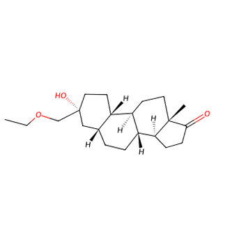 CCOC[C@@]1(O)CC[C@H]2[C@H](CC[C@@H]3[C@@H]2CC[C@]2(C)C(=O)CC[C@@H]32)C1